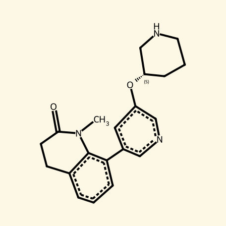 CN1C(=O)CCc2cccc(-c3cncc(O[C@H]4CCCNC4)c3)c21